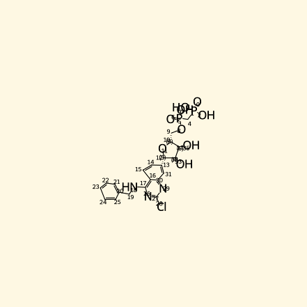 O=P(O)(O)CP(=O)(O)OC[C@H]1O[C@@H](c2ccc3c(NCc4ccccc4)nc(Cl)nc3c2)[C@H](O)[C@@H]1O